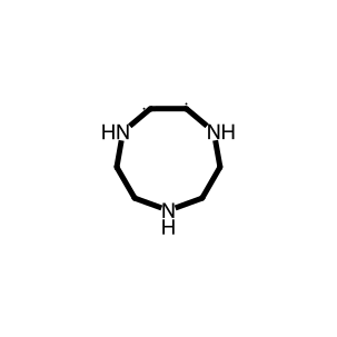 [CH]1[CH]NCCNCCN1